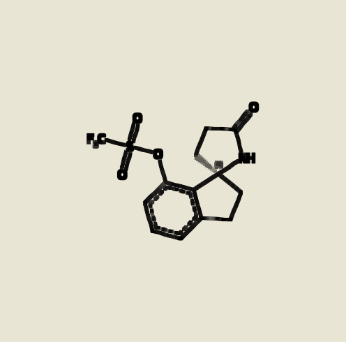 O=C1CC[C@@]2(CCc3cccc(OS(=O)(=O)C(F)(F)F)c32)N1